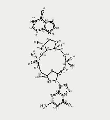 Nc1nc2c(ncn2[C@@H]2O[C@@H]3CO[P@@](=O)(S)O[C@H]4[C@H](F)[C@H](n5ccc6c(=O)[nH]cnc65)O[C@@H]4CO[P@@](=O)(S)O[C@@H]2C3)c(=O)[nH]1